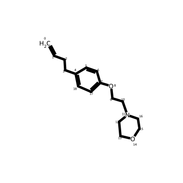 C=CCCc1ccc(OCCN2CCOCC2)cc1